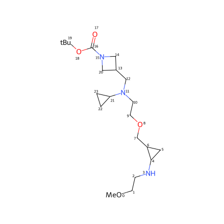 COCCNC1CC1COCCN(CC1CN(C(=O)OC(C)(C)C)C1)C1CC1